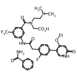 CCOc1cc(=O)[nH]cc1-c1ccc(CC(=O)Nc2cc(C(=O)N(CCN(C)C)CC(=O)O)cc(C(F)(F)F)c2)c(F)c1.NC(=O)c1ccccc1